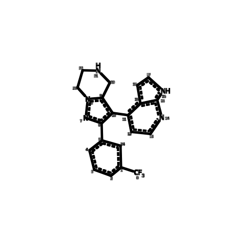 FC(F)(F)c1cccc(-c2nn3c(c2-c2ccnc4[nH]ccc24)CNCC3)c1